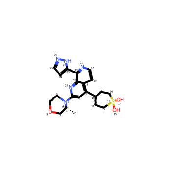 C[C@@H]1COCCN1c1cc(C2CCS(O)(O)CC2)c2ccnc(-c3ccn[nH]3)c2n1